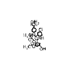 COC(=O)COc1c(CNc2ccc(Cl)cc2C(=O)Nc2ccc(/C(N)=N/O)cc2)cc(CO)cc1OC(C)C